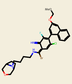 COCOc1cc(C2=C(F)C(=N)/C(=C(/Br)NCCCCN3C4CCC3COC4)C=C2Cl)c2ccccc2c1